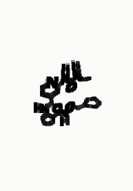 CCNC(=O)Nc1cc(CNc2ccccc2C(=O)NOCC2CCCC2)ccn1